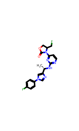 C[C@H](Nc1nccc(N2C(=O)OCC2CF)n1)c1cn(-c2ccc(F)cc2)cn1